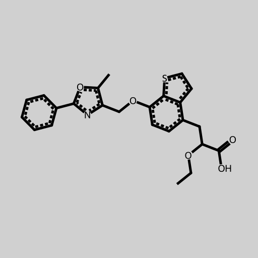 CCOC(Cc1ccc(OCc2nc(-c3ccccc3)oc2C)c2sccc12)C(=O)O